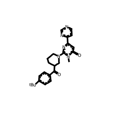 Cn1c(N2CCCC(C(=O)c3ccc(C(C)(C)C)cc3)C2)nc(-c2ccncn2)cc1=O